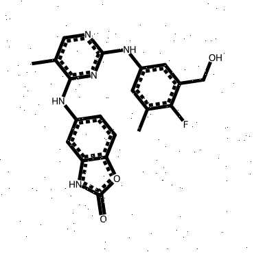 Cc1cnc(Nc2cc(C)c(F)c(CO)c2)nc1Nc1ccc2oc(=O)[nH]c2c1